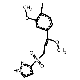 COC(=CCS(=O)(=O)c1cc[nH]n1)c1ccc(I)c(OC)c1